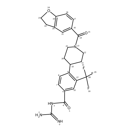 N=C(N)NC(=O)c1ccc(C2CCN(C(=O)c3ccc4c(c3)CCO4)CC2)c(C(F)(F)F)c1